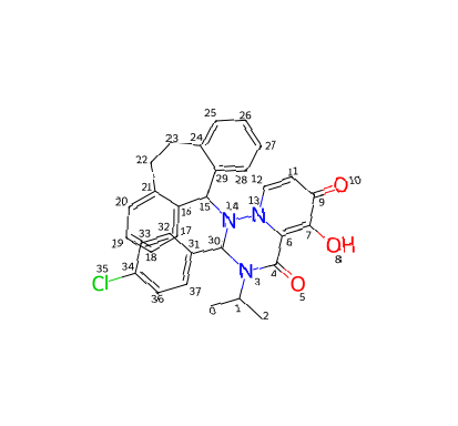 CC(C)N1C(=O)c2c(O)c(=O)ccn2N(C2c3ccccc3CCc3ccccc32)C1c1ccc(Cl)cc1